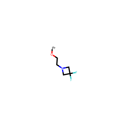 CC(C)OCCN1CC(F)(F)C1